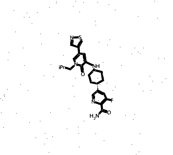 CC(C)Cn1cc(-c2cnsc2)cc(N[C@H]2CC[C@@H](c3cnc(C(N)=O)c(F)c3)CC2)c1=O